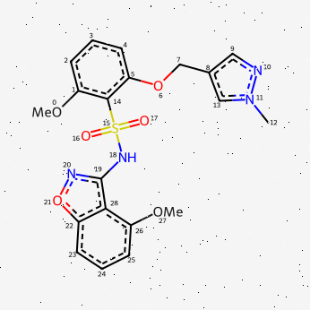 COc1cccc(OCc2cnn(C)c2)c1S(=O)(=O)Nc1noc2cccc(OC)c12